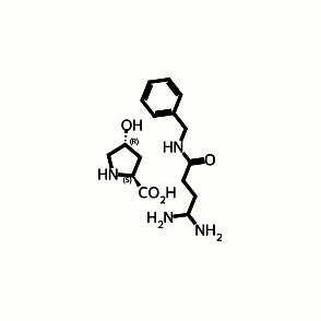 NC(N)CCC(=O)NCc1ccccc1.O=C(O)[C@@H]1C[C@@H](O)CN1